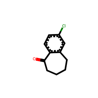 O=C1CCCCc2cc(Cl)ccc21